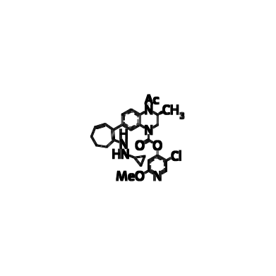 COc1cc(OC(=O)N2C[C@H](C)N(C(C)=O)c3ccc(C4=C(NNC5CC5)CCCC=C4)cc32)c(Cl)cn1